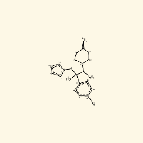 C=C1CCN(C(C)C(O)(Cn2ccnc2)c2ccc(Cl)cc2)CC1